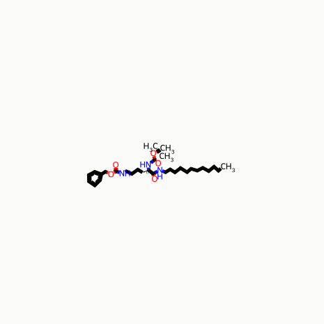 CCCCCCCCCCCCNC(=O)[C@H](CCCCNC(=O)OCc1ccccc1)NC(=O)OC(C)(C)C